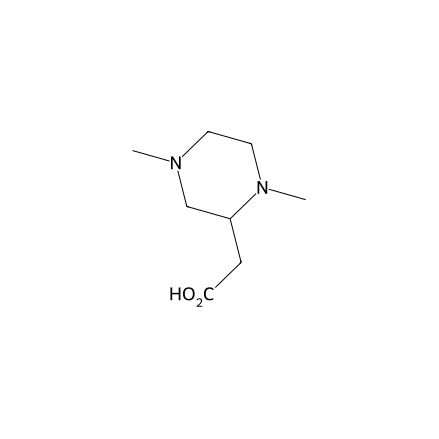 CN1CCN(C)C(CC(=O)O)C1